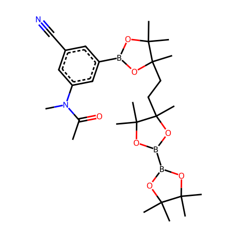 CC(=O)N(C)c1cc(C#N)cc(B2OC(C)(C)C(C)(CCC3(C)OB(B4OC(C)(C)C(C)(C)O4)OC3(C)C)O2)c1